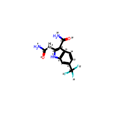 NC(=O)[AsH]c1[nH]c2cc(C(F)(F)F)ccc2c1C(N)=O